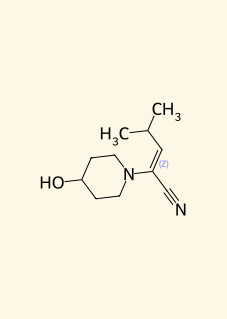 CC(C)/C=C(/C#N)N1CCC(O)CC1